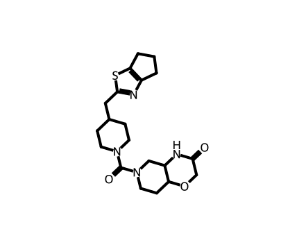 O=C1COC2CCN(C(=O)N3CCC(Cc4nc5c(s4)CCC5)CC3)CC2N1